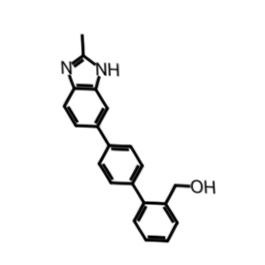 Cc1nc2ccc(-c3ccc(-c4ccccc4CO)cc3)cc2[nH]1